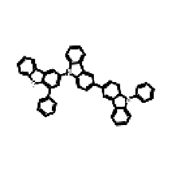 C1=C(c2ccc3c(c2)c2ccccc2n3-c2cc(-c3ccccc3)c3sc4ccccc4c3c2)C=C2c3ccccc3N(c3ccccc3)C2C1